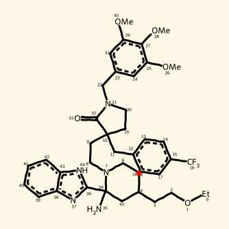 CCOCCC1CCN(CCC2(Cc3ccc(C(F)(F)F)cc3)CCN(Cc3cc(OC)c(OC)c(OC)c3)C2=O)C(N)(c2nc3ccccc3[nH]2)C1